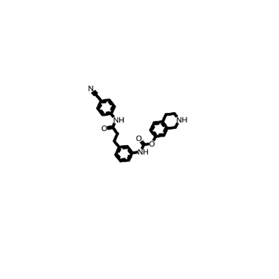 N#Cc1ccc(NC(=O)CCc2cccc(NC(=O)Oc3ccc4c(c3)CNCC4)c2)cc1